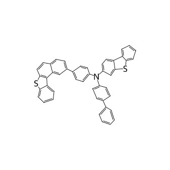 c1ccc(-c2ccc(N(c3ccc(-c4ccc5ccc6sc7ccccc7c6c5c4)cc3)c3ccc4c(c3)sc3ccccc34)cc2)cc1